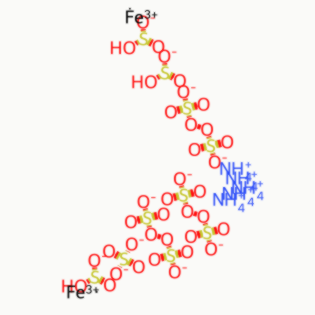 O=S(=O)([O-])OOS(=O)(=O)[O-].O=S(=O)([O-])OOS(=O)(=O)[O-].O=S(=O)([O-])OOS(=O)(=O)[O-].O=S(=O)([O-])[O-].O=S([O-])O.O=S([O-])O.O=S([O-])O.[Fe+3].[Fe+3].[NH4+].[NH4+].[NH4+].[NH4+].[NH4+]